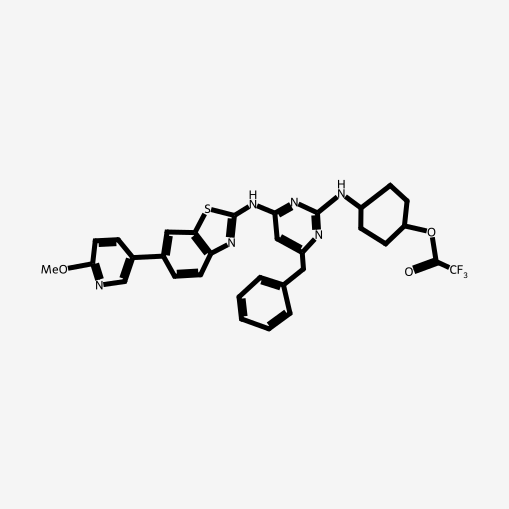 COc1ccc(-c2ccc3nc(Nc4cc(Cc5ccccc5)nc(NC5CCC(OC(=O)C(F)(F)F)CC5)n4)sc3c2)cn1